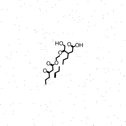 C=CCC.CCCC(=O)CC(=O)OCC.CCCC(CC(=O)O)C(=O)CO